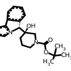 CC(C)(C)OC(=O)N1CCC[C@](O)([C@H]2c3ccccc3-c3cncn32)C1